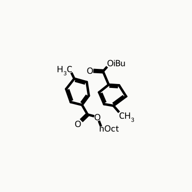 CCCCCCCCOC(=O)c1ccc(C)cc1.Cc1ccc(C(=O)OCC(C)C)cc1